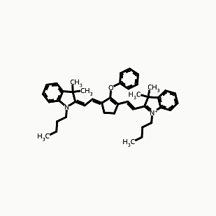 CCCCN1/C(=C/C=C2\CCC(/C=C/C3=[N+](CCCC)c4ccccc4C3(C)C)=C2Oc2ccccc2)C(C)(C)c2ccccc21